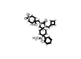 CN(C)[C@]1(c2ccccc2)CC[C@@]2(CC1)CN(CC1(O)CCS(=O)(=O)CC1)C(=O)N2CC1CCC1